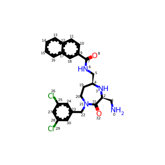 NC[C@@H]1N[C@H](CNC(=O)c2ccc3ccccc3c2)CCN(Cc2cc(Cl)cc(Cl)c2)C1=O